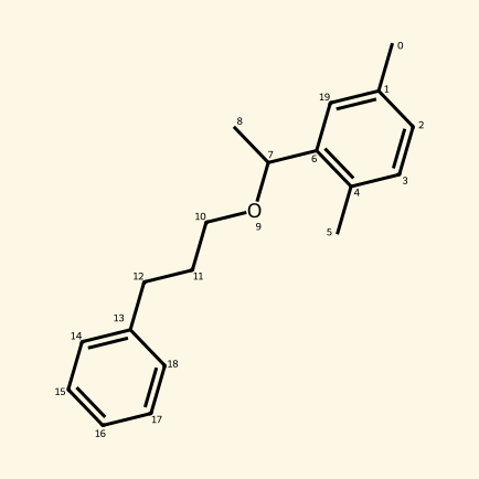 Cc1ccc(C)c(C(C)OCCCc2ccccc2)c1